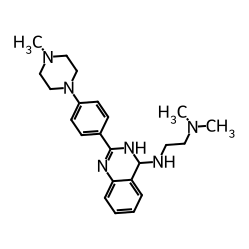 CN(C)CCNC1NC(c2ccc(N3CCN(C)CC3)cc2)=Nc2ccccc21